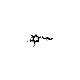 C/C=C/COc1cc(F)c(C(C)C)c(F)c1